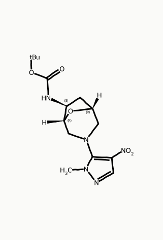 Cn1ncc([N+](=O)[O-])c1N1C[C@H]2C[C@H](NC(=O)OC(C)(C)C)[C@@H](C1)O2